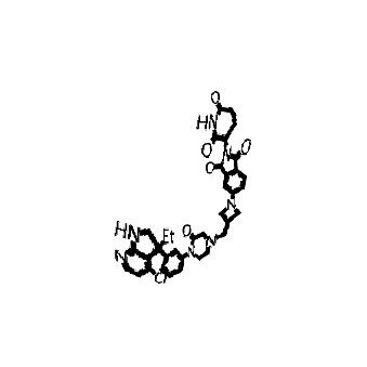 CCC1(c2cccc(N3CCN(CC4CN(c5ccc6c(c5)C(=O)N(C5CCC(=O)NC5=O)C6=O)C4)CC3=O)c2)CNc2nccc(Cl)c21